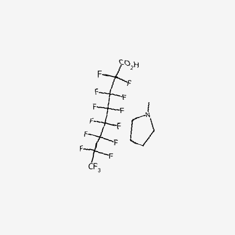 CN1CCCC1.O=C(O)C(F)(F)C(F)(F)C(F)(F)C(F)(F)C(F)(F)C(F)(F)C(F)(F)F